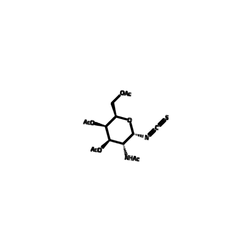 CC(=O)N[C@@H]1[C@@H](OC(C)=O)[C@@H](OC(C)=O)[C@@H](COC(C)=O)O[C@@H]1N=C=S